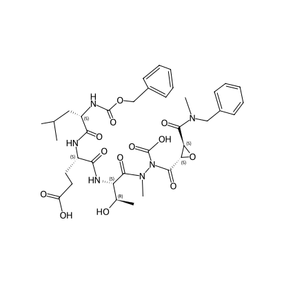 CC(C)C[C@H](NC(=O)OCc1ccccc1)C(=O)N[C@@H](CCC(=O)O)C(=O)N[C@H](C(=O)N(C)N(C(=O)O)C(=O)[C@H]1O[C@@H]1C(=O)N(C)Cc1ccccc1)[C@@H](C)O